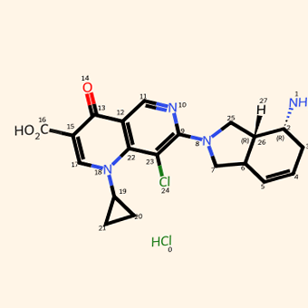 Cl.N[C@@H]1CC=CC2CN(c3ncc4c(=O)c(C(=O)O)cn(C5CC5)c4c3Cl)C[C@@H]21